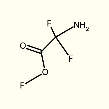 NC(F)(F)C(=O)OF